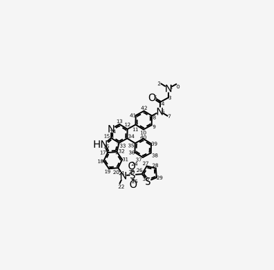 CN(C)CC(=O)N(C)c1ccc(-c2cnc3[nH]c4ccc(N(C)S(=O)(=O)c5cccs5)cc4c3c2-c2ccccc2)cc1